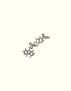 O=C(NCC1Cc2ccc(C(=O)O)cc2C1)OCC1c2ccccc2-c2ccccc21